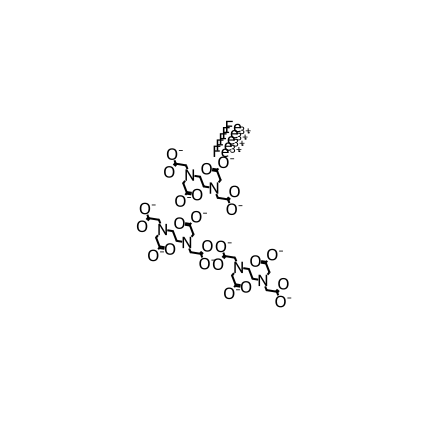 O=C([O-])CN(CCN(CC(=O)[O-])CC(=O)[O-])CC(=O)[O-].O=C([O-])CN(CCN(CC(=O)[O-])CC(=O)[O-])CC(=O)[O-].O=C([O-])CN(CCN(CC(=O)[O-])CC(=O)[O-])CC(=O)[O-].[Fe+3].[Fe+3].[Fe+3].[Fe+3].[Fe]